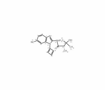 C[C@H](C(=O)Nc1nc2ccc(C#N)cc2n1C1=CC=C1)C(C)(C)O